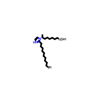 CCCCCCCCCCCCCCCCC(C)[n+]1cc[nH]c1CCCCCCCCCCC(C)C